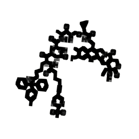 CC[C@@]1(O)C(=O)OCc2c1cc1n(c2=O)Cc2c-1nc1cc(F)c(C)cc1c2CNC(=O)[C@H](OCNC(=O)[C@H](C)NC(=O)[C@H](C)NC(=O)[C@H](C)NC(=O)[C@H](CCCCNC(c1ccccc1)(c1ccccc1)c1ccc(C)cc1)NC(=O)CCCC#Cc1cnc(S(C)(=O)=O)nc1)C1CC1